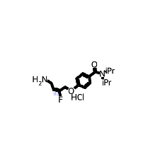 CC(C)N(C(=O)c1ccc(OC/C(F)=C\CN)cc1)C(C)C.Cl